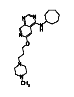 CN1CCN(CCCOc2cc3c(NC4CCCCCC4)ncnc3cn2)CC1